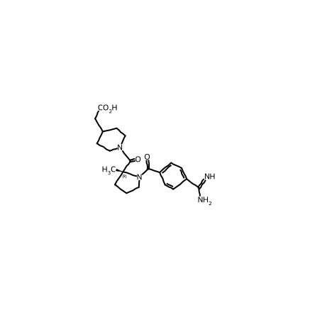 C[C@]1(C(=O)N2CCC(CC(=O)O)CC2)CCCN1C(=O)c1ccc(C(=N)N)cc1